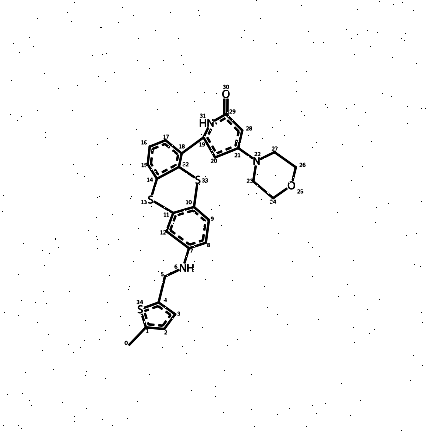 Cc1ccc(CNc2ccc3c(c2)Sc2cccc(-c4cc(N5CCOCC5)cc(=O)[nH]4)c2S3)s1